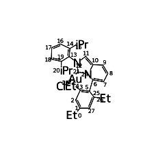 CCc1cc(CC)c(C2=CC=CC3=CN(c4c(C(C)C)cccc4C(C)C)[CH]([Au][Cl])N32)c(CC)c1